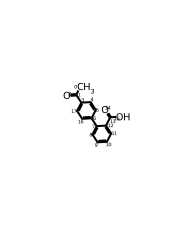 CC(=O)c1ccc(-c2ccccc2C(=O)O)cc1